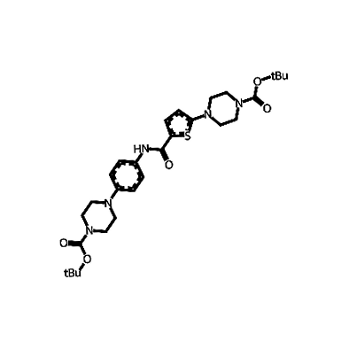 CC(C)(C)OC(=O)N1CCN(c2ccc(NC(=O)c3ccc(N4CCN(C(=O)OC(C)(C)C)CC4)s3)cc2)CC1